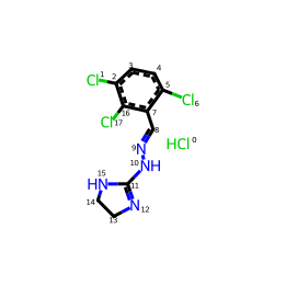 Cl.Clc1ccc(Cl)c(/C=N/NC2=NCCN2)c1Cl